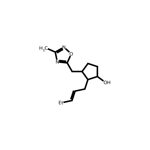 CCC=CCC1C(O)CCC1Cc1nc(C)no1